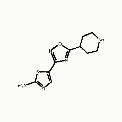 Nc1ncc(-c2noc(C3CCNCC3)n2)s1